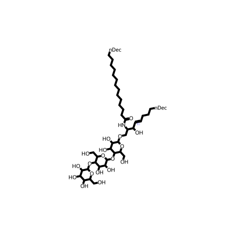 CCCCCCCCCCCCC/C=C/C(O)C(COC1OC(CO)C(OC2OC(CO)C(OC3OC(CO)C(O)C(O)C3O)C(O)C2O)C(O)C1O)NC(=O)CCCCCCCCCCCCCCCCCCCCCCC